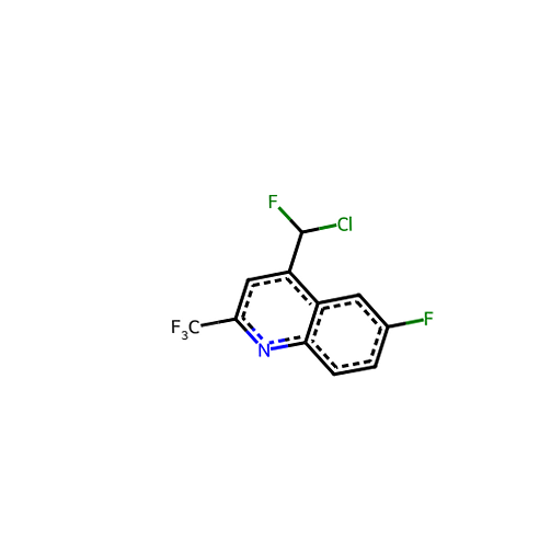 Fc1ccc2nc(C(F)(F)F)cc(C(F)Cl)c2c1